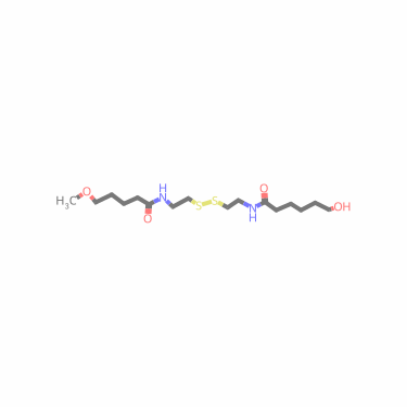 COCCCCC(=O)NCCSSCCNC(=O)CCCCCO